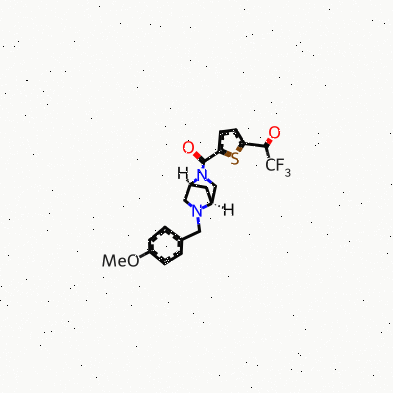 COc1ccc(CN2C[C@@H]3C[C@H]2CN3C(=O)c2ccc(C(=O)C(F)(F)F)s2)cc1